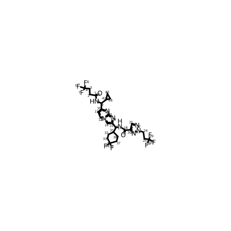 O=C(CCC(F)(F)F)NC(c1ccn2cc(C(NC(=O)c3cnn(CCC(F)(F)F)n3)C3CCC(F)(F)CC3)nc2n1)C1CC1